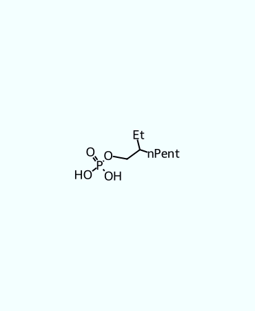 CCCCCC(CC)COP(=O)(O)O